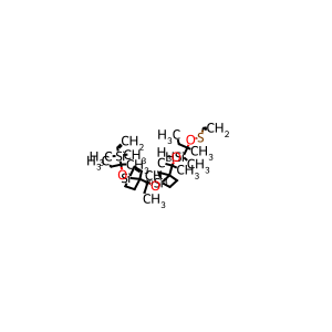 C=CSOC(C)(CC)[SiH](C)OC(C)(C)C12CC[Si]1(O[C@](C)(CC)C13C=C[Si]1(OC(C)(CC)[Si](C)(C)C=C)CC3)C2